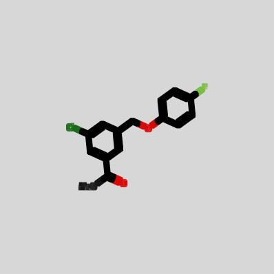 COC(=O)c1cc(Cl)cc(COc2ccc(F)cc2)c1